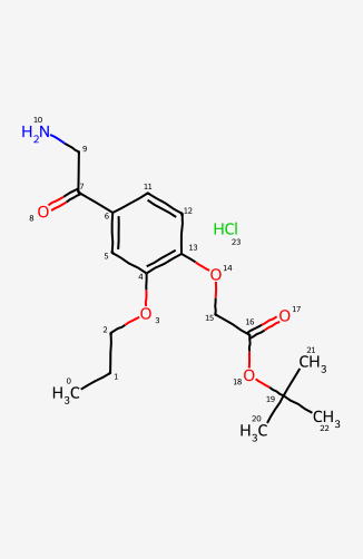 CCCOc1cc(C(=O)CN)ccc1OCC(=O)OC(C)(C)C.Cl